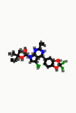 Cc1nc(-c2ccc3c(c2)OC(F)(F)O3)c2c(Br)cn(C(=O)OC(C)(C)C)c2n1